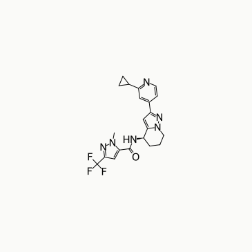 Cn1nc(C(F)(F)F)cc1C(=O)N[C@@H]1CCCn2nc(-c3ccnc(C4CC4)c3)cc21